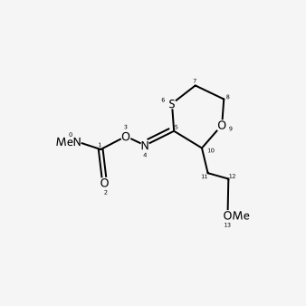 CNC(=O)ON=C1SCCOC1CCOC